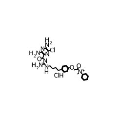 C[N+](C)(C(=O)COc1ccc(CCCCNC(N)=NC(=O)c2nc(Cl)c(N)nc2N)cc1)c1ccccc1.Cl